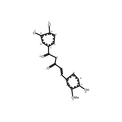 COc1cc(C=CC(=O)CC(=O)c2ccc(Cl)c(Cl)c2)ccc1O